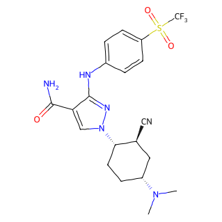 CN(C)[C@@H]1CC[C@H](n2cc(C(N)=O)c(Nc3ccc(S(=O)(=O)C(F)(F)F)cc3)n2)[C@@H](C#N)C1